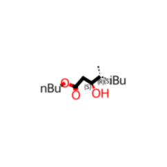 CCCCOC(=O)C[C@H](O)[C@H](C)[C@@H](C)CC